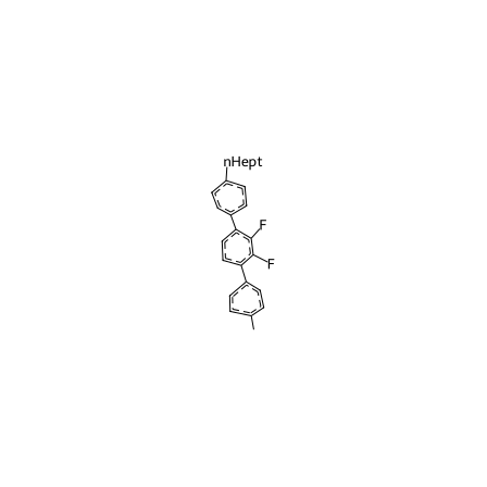 CCCCCCCc1ccc(-c2ccc(-c3ccc(C)cc3)c(F)c2F)cc1